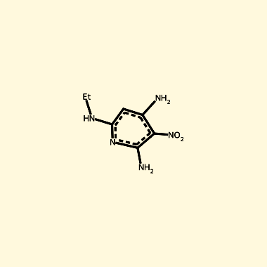 CCNc1cc(N)c([N+](=O)[O-])c(N)n1